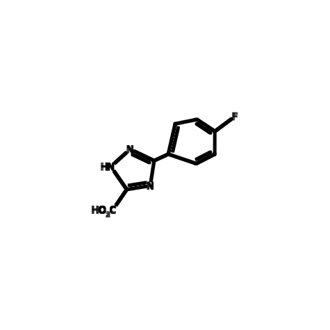 O=C(O)c1nc(-c2ccc(F)cc2)n[nH]1